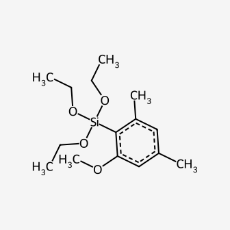 CCO[Si](OCC)(OCC)c1c(C)cc(C)cc1OC